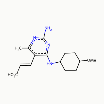 COC1CCC(Nc2nc(N)nc(C)c2/C=C/C(=O)O)CC1